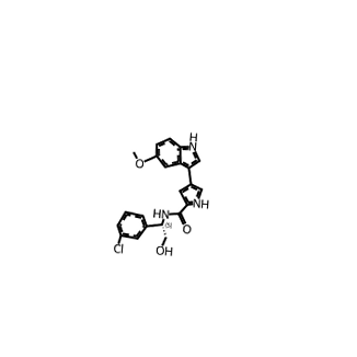 COc1ccc2[nH]cc(-c3c[nH]c(C(=O)N[C@H](CO)c4cccc(Cl)c4)c3)c2c1